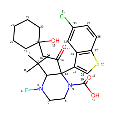 CC(C)(C)C1N(F)CCN(C(=O)O)C1(C(=O)CC1(O)CCCCC1)c1csc2ccc(Cl)cc12